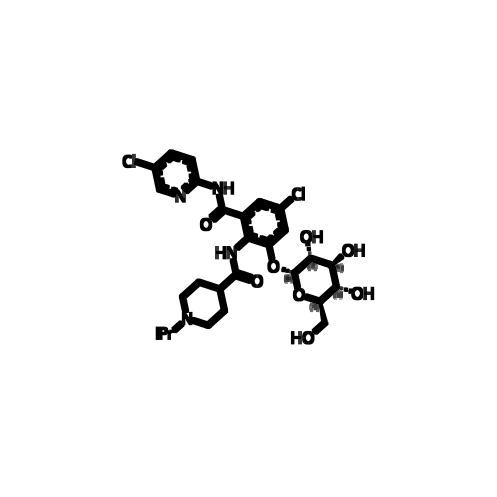 CC(C)N1CCC(C(=O)Nc2c(O[C@H]3O[C@H](CO)[C@@H](O)[C@H](O)[C@H]3O)cc(Cl)cc2C(=O)Nc2ccc(Cl)cn2)CC1